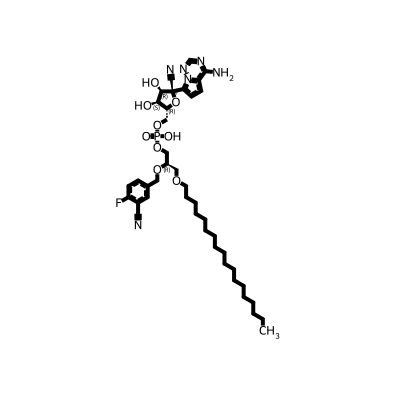 CCCCCCCCCCCCCCCCCCOC[C@H](COP(=O)(O)OC[C@H]1O[C@@](C#N)(c2ccc3c(N)ncnn23)[C@H](O)[C@@H]1O)OCc1ccc(F)c(C#N)c1